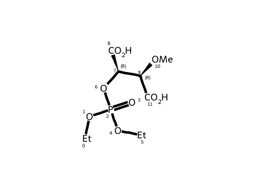 CCOP(=O)(OCC)O[C@@H](C(=O)O)[C@@H](OC)C(=O)O